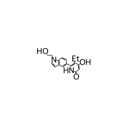 CCc1c(O)cc(=O)[nH]c1-c1ccc2c(ccn2CCO)c1